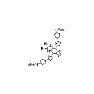 CCCCCc1ccc(-c2ccc(-c3c4nsnc4c(-c4ccc(-c5ccc(CCCCC)cc5)s4)c4nc(CC)c(CC)nc34)s2)cc1